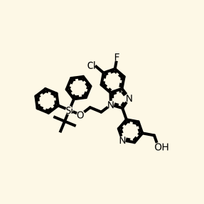 CC(C)(C)[Si](OCCn1c(-c2cncc(CO)c2)nc2cc(F)c(Cl)cc21)(c1ccccc1)c1ccccc1